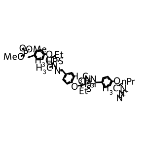 CCC[C@](C)(N=[N+]=[N-])Oc1ccc(/C=N/N(C)[PH](=S)C(C)(CC)Oc2ccc(/C=N/N(C)[PH](=S)C(C)(CC)Oc3ccc(CP(=O)(OC)OC)cc3)cc2)cc1